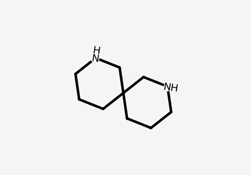 C1CNCC2(C1)CCCNC2